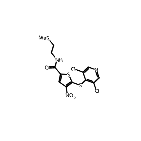 CSCCNC(=O)c1cc([N+](=O)[O-])c(Sc2c(Cl)cncc2Cl)s1